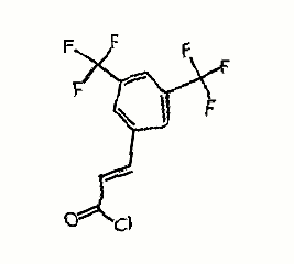 O=C(Cl)C=Cc1cc(C(F)(F)F)cc(C(F)(F)F)c1